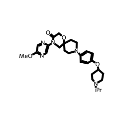 COc1cnc(N2CC3(CCN(c4ccc(OC5CCN(C(C)C)CC5)cc4)CC3)OCC2=O)cn1